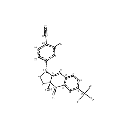 Cc1cc(N2CC[C@@]3(O)C(=O)c4cc(C(I)(I)I)ccc4N=C23)ccc1C#N